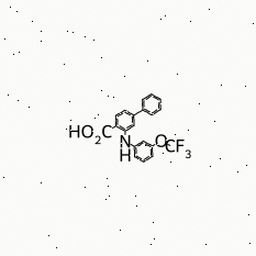 O=C(O)c1ccc(-c2ccccc2)cc1Nc1cccc(OC(F)(F)F)c1